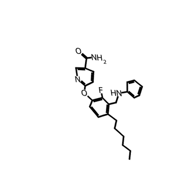 CCCCCCc1ccc(Oc2ccc(C(N)=O)cn2)c(F)c1CNc1ccccc1